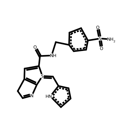 NS(=O)(=O)c1ccc(CNC(=O)C2=CC3=C(N=CC3)S2=Cc2ccc[nH]2)cc1